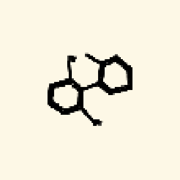 Cc1[c]cccc1-c1c(C(C)C)cccc1C(C)C